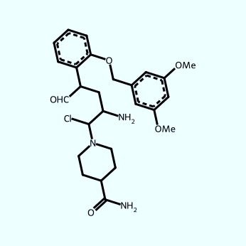 COc1cc(COc2ccccc2C(C=O)CC(N)C(Cl)N2CCC(C(N)=O)CC2)cc(OC)c1